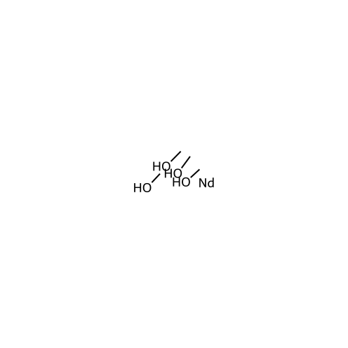 CO.CO.CO.CO.[Nd]